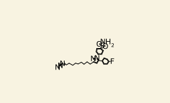 [N-]=[N+]=NCCCCCCCCCc1cc(-c2ccc(F)cc2)n(-c2ccc(S(N)(=O)=O)cc2)n1